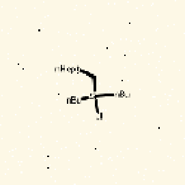 CCCCCCCC[Si](Cl)(CCCC)CCCC